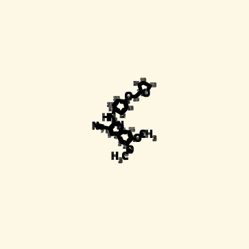 COc1cc2cc(C#N)c(Nc3ccc(OCC4CCCO4)cc3)nc2cc1OC